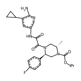 CC(C)OC(=O)N1C[C@@H](c2ccc(F)cc2)N(C(=O)C(=O)Nc2cnc(N)c(C3CC3)c2)C[C@@H]1C